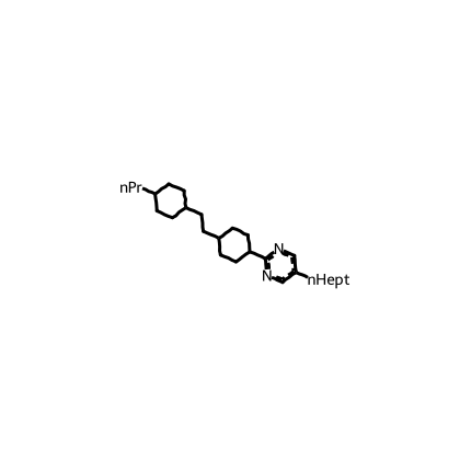 CCCCCCCc1cnc(C2CCC(CCC3CCC(CCC)CC3)CC2)nc1